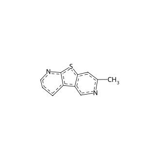 Cc1cc2sc3ncccc3c2cn1